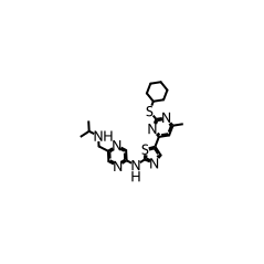 Cc1cc(-c2cnc(Nc3cnc(CNC(C)C)cn3)s2)nc(SC2CCCCC2)n1